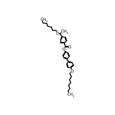 CCCCCCCCOc1ccc(-c2ccc(OC(=O)c3ccc(C(C)OCCCCCCC)cc3)cc2)cc1